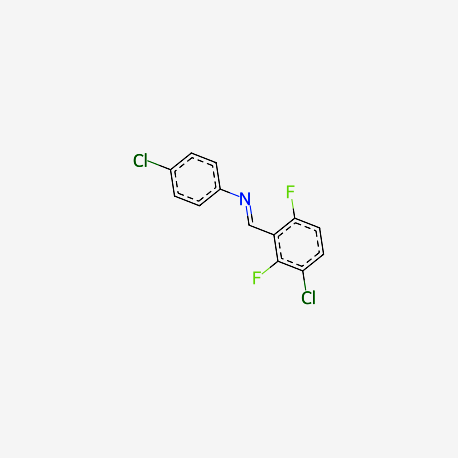 Fc1ccc(Cl)c(F)c1C=Nc1ccc(Cl)cc1